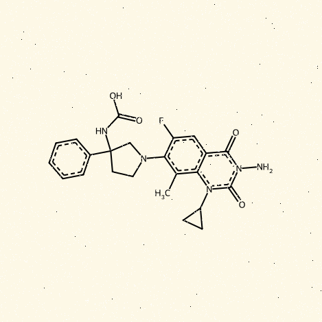 Cc1c(N2CCC(NC(=O)O)(c3ccccc3)C2)c(F)cc2c(=O)n(N)c(=O)n(C3CC3)c12